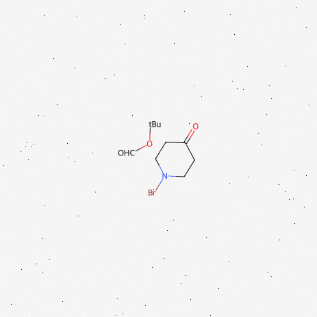 CC(C)(C)OC=O.O=C1CCN(Br)CC1